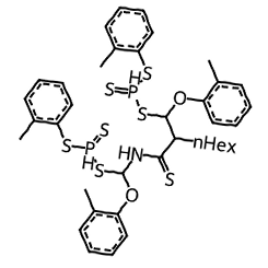 CCCCCCC(C(=S)NC(Oc1ccccc1C)S[PH](=S)Sc1ccccc1C)C(Oc1ccccc1C)S[PH](=S)Sc1ccccc1C